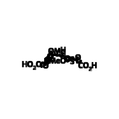 COc1cc2c(cc1CCCCNc1cc3cc(C(=O)CC(C)C(=O)O)sc3cc1OC)CN(C(=O)CC(C)C(=O)O)C2